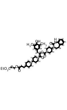 CCOC(=O)OCOC(=O)CCC1CCN(C2CCN(C(=O)[C@@H](Cc3cc(C)c(O)c(C)c3)OC(=O)N3CCC(N4CCc5ccccc5NC4=O)CC3)CC2)CC1